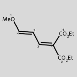 CCOC(=O)C(=CC=COC)C(=O)OCC